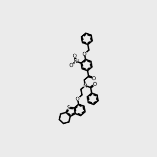 O=C(CN(CCOc1cccc2c3c(sc12)CCCC3)C(=O)c1ccccc1)c1ccc(OCc2ccccc2)c([N+](=O)[O-])c1